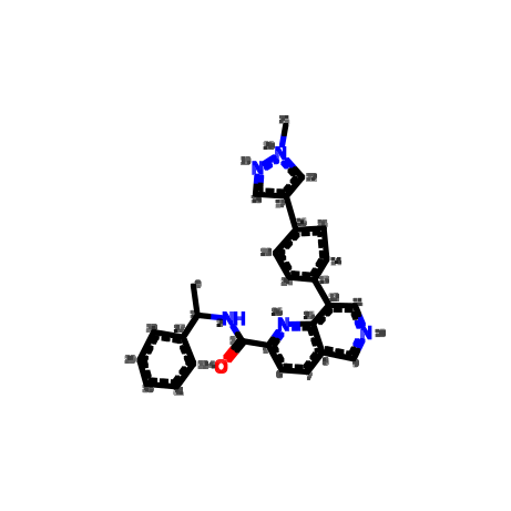 CC(NC(=O)c1ccc2cncc(-c3ccc(-c4cnn(C)c4)cc3)c2n1)c1ccccc1